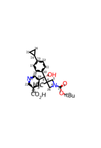 CC(C)(C)OC(=O)N1CC(C)([C@](O)(c2ccc(C3CC3)cc2)c2cncc(C(=O)O)c2)C1